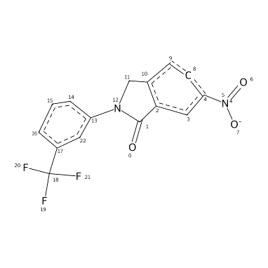 O=C1c2cc([N+](=O)[O-])ccc2CN1c1cccc(C(F)(F)F)c1